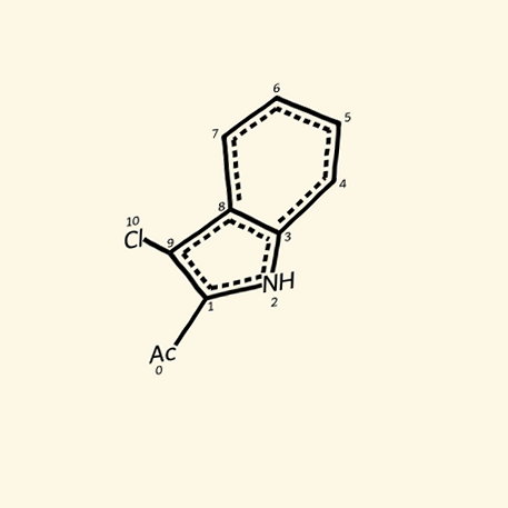 CC(=O)c1[nH]c2ccccc2c1Cl